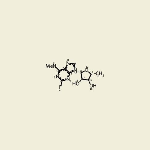 CNc1nc(F)nc2c1ncn2[C@@H]1O[C@H](C)[C@@H](O)[C@H]1O